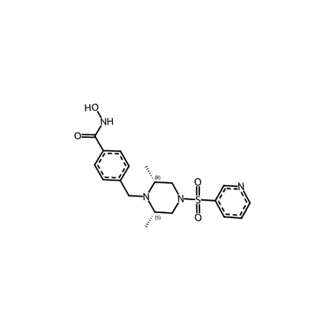 C[C@@H]1CN(S(=O)(=O)c2cccnc2)C[C@H](C)N1Cc1ccc(C(=O)NO)cc1